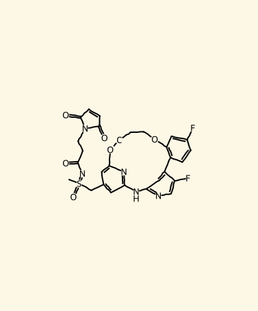 CS(=O)(Cc1cc2nc(c1)OCCCOc1cc(F)ccc1-c1cc(ncc1F)N2)=NC(=O)CCN1C(=O)C=CC1=O